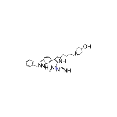 N=C/N=C(/N)c1[nH]c(CCCCN2CCC(O)CC2)cc1-c1ccc2cn(Cc3ccccc3)nc2c1